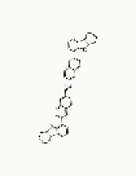 C(=C\c1ccc2cc(-c3cccc4c3oc3ccccc34)ccc2c1)/c1ccc2cc(-c3cccc4c3oc3ccccc34)ccc2c1